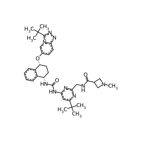 CN1CC(C(=O)NCc2nc(NC(=O)N[C@H]3CC[C@@H](Oc4ccc5nnc(C(C)(C)C)n5c4)c4ccccc43)cc(C(C)(C)C)n2)C1